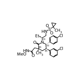 CC[C@@H](CNS(=O)(=O)C1(C)CC1)N1C(=O)[C@@](C)(CC(=O)NOC)C[C@H](c2cccc(Cl)c2)[C@H]1c1ccc(Cl)cc1